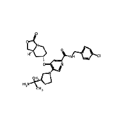 CC(C)(N)C1CCN(c2cnc(C(=O)NCc3ccc(Cl)cc3)cc2O[C@H]2CCN3C(=O)OC[C@@H]3C2)C1